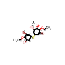 CBC1CC(SC2C=C(Br)C(OCC)C(Br)C2)C=C(Br)C(OCC)[C@@H]1O